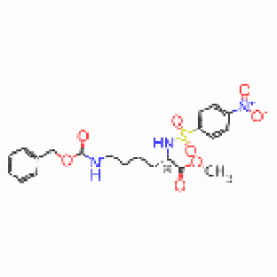 COC(=O)[C@H](CCCCNC(=O)OCc1ccccc1)NS(=O)(=O)c1ccc([N+](=O)[O-])cc1